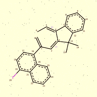 C=C(/C=C1\C(=C/C)c2ccccc2C1(C)C)c1ccc(I)c2ccccc12